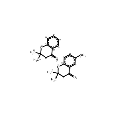 CC1(C)CC(=O)c2cc([N+](=O)[O-])ccc2O1.CC1(C)CC(=O)c2ccccc2O1